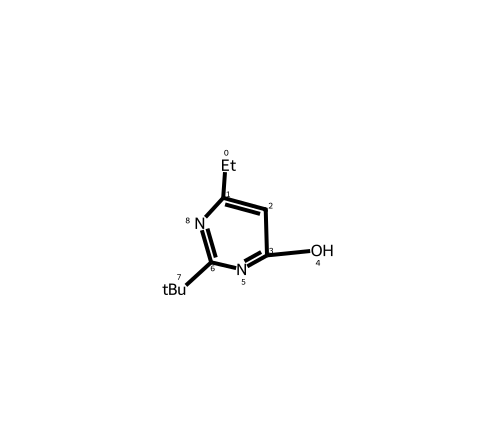 CCc1cc(O)nc(C(C)(C)C)n1